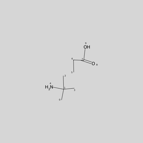 CC(C)(C)N.CCC(=O)O